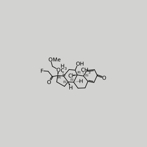 COCO[C@]1(C(=O)CF)CC[C@H]2[C@@H]3CCC4=CC(=O)C=C[C@]4(C)[C@@]3(Cl)C(O)C[C@@]21C